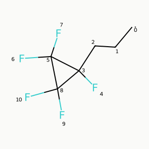 [CH2]CCC1(F)C(F)(F)C1(F)F